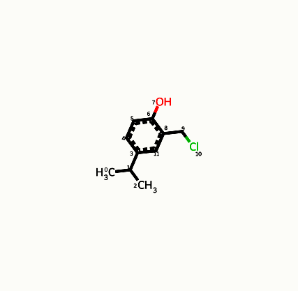 CC(C)c1ccc(O)c(CCl)c1